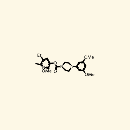 CCc1cc(OC(=O)N2CCN(c3cc(OC)cc(OC)c3)CC2)c(OC)nc1C